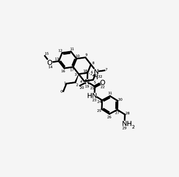 CCC[C@@]12CCN(C)C(Cc3ccc(OC)cc31)[C@H]2N(C)C(=O)Nc1ccc(CN)cc1